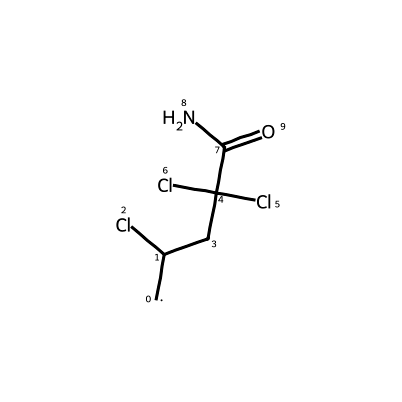 [CH2]C(Cl)CC(Cl)(Cl)C(N)=O